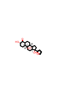 C[C@]12CC[C@H]3[C@@H](CCC4C(=O)[C@@H](O)CC[C@@]43C)[C@@]1(O)CC[C@]2(O)c1ccco1